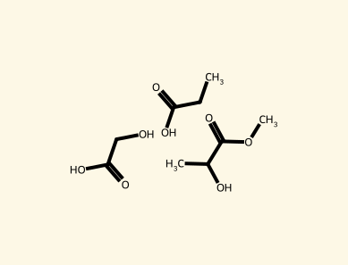 CCC(=O)O.COC(=O)C(C)O.O=C(O)CO